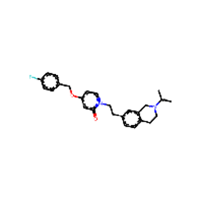 CC(C)N1CCc2ccc(CCn3ccc(OCc4ccc(F)cc4)cc3=O)cc2C1